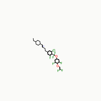 CCC1CCC(/C=C/CCc2cc(F)c(C(F)(F)Oc3cc(F)c(OC=C(F)F)c(F)c3)c(Cl)c2)CC1